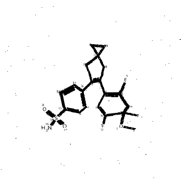 COC1(F)CC(F)=C(C2=C(c3ccc(S(N)(=O)=O)cc3)CC3(CC3)C2)C=C1F